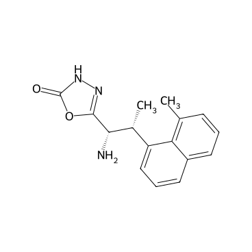 Cc1cccc2cccc([C@@H](C)[C@H](N)c3n[nH]c(=O)o3)c12